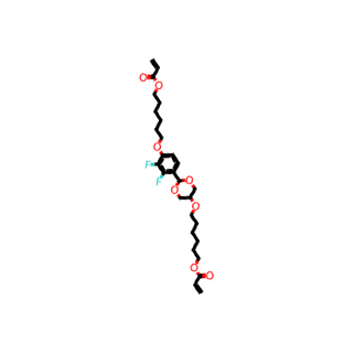 C=CC(=O)OCCCCCCOc1ccc(C2OCC(OCCCCCCOC(=O)C=C)CO2)c(F)c1F